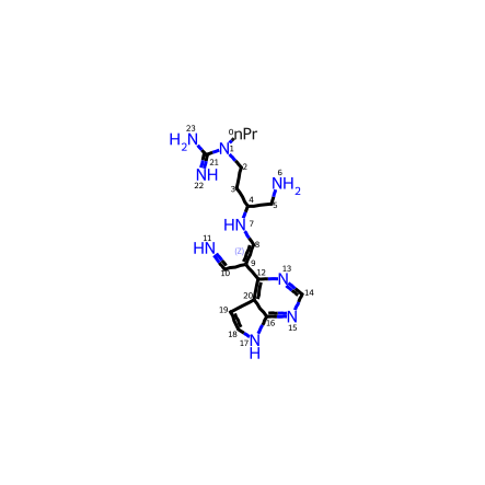 CCCN(CCC(CN)N/C=C(\C=N)c1ncnc2[nH]ccc12)C(=N)N